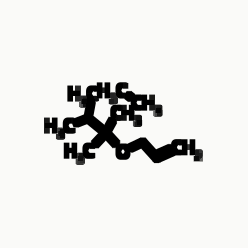 C=CCOC(C)(C)C(C)C.CC